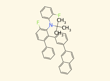 CC(C)(C)N(c1ccccc1F)c1c(F)ccc(-c2ccccc2)c1-c1cccc(-c2ccc3ccccc3c2)c1